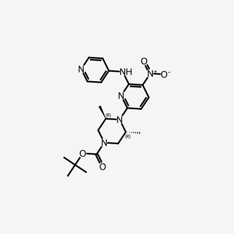 C[C@@H]1CN(C(=O)OC(C)(C)C)C[C@@H](C)N1c1ccc([N+](=O)[O-])c(Nc2ccncc2)n1